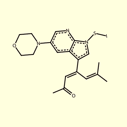 CC(=O)/C=C(\C=C(C)C)c1cn(SI)c2ncc(N3CCOCC3)cc12